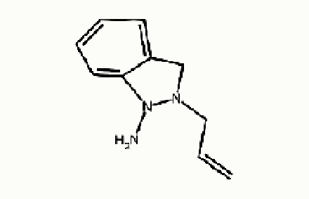 C=CCN1Cc2ccccc2N1N